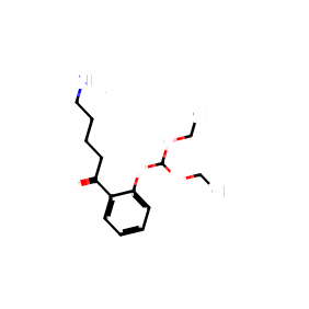 CCOC(OCC)Oc1ccccc1C(=O)CCCCN